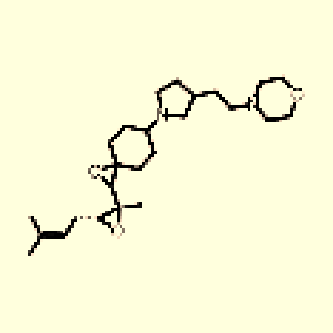 CC(C)=CC[C@H]1O[C@@]1(C)C1OC12CCC(N1CCC(CCN3CCOCC3)C1)CC2